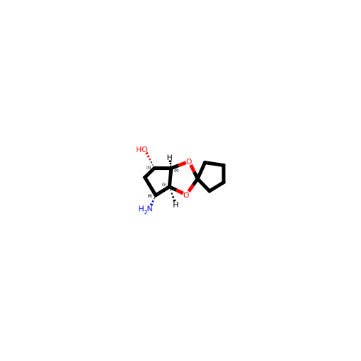 N[C@@H]1C[C@H](O)[C@H]2OC3(CCCC3)O[C@H]21